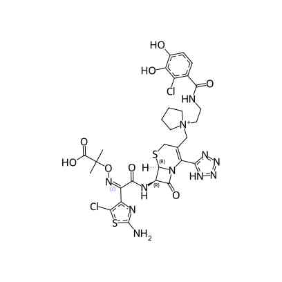 CC(C)(O/N=C(\C(=O)N[C@@H]1C(=O)N2C(c3nnn[nH]3)=C(C[N+]3(CCNC(=O)c4ccc(O)c(O)c4Cl)CCCC3)CS[C@H]12)c1nc(N)sc1Cl)C(=O)O